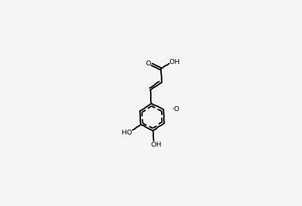 O=C(O)/C=C/c1ccc(O)c(O)c1.[O]